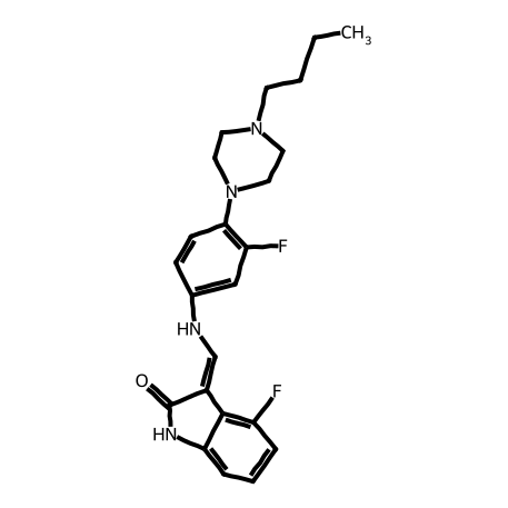 CCCCN1CCN(c2ccc(NC=C3C(=O)Nc4cccc(F)c43)cc2F)CC1